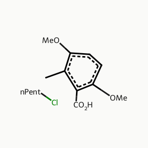 CCCCCCl.COc1ccc(OC)c(C(=O)O)c1C